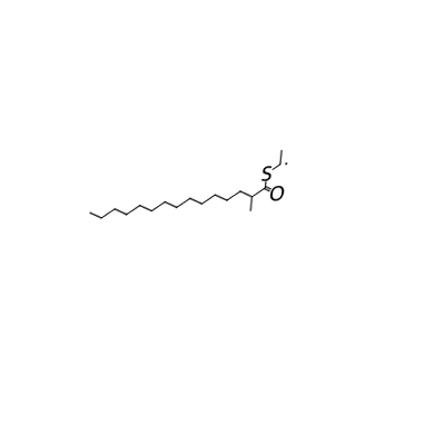 C[CH]SC(=O)C(C)CCCCCCCCCCCCC